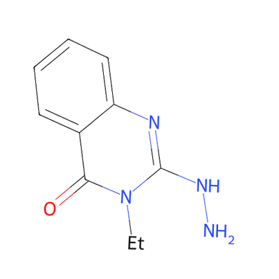 CCn1c(NN)nc2ccccc2c1=O